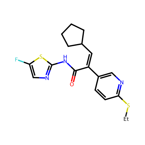 CCSc1ccc(C(=CC2CCCC2)C(=O)Nc2ncc(F)s2)cn1